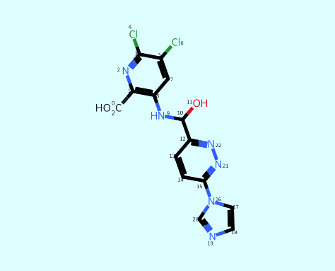 O=C(O)c1nc(Cl)c(Cl)cc1NC(O)c1ccc(-n2ccnc2)nn1